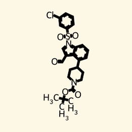 CC(C)(C)OC(=O)N1CCC(c2cccc3c2c(C=O)cn3S(=O)(=O)c2cccc(Cl)c2)CC1